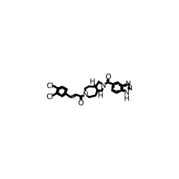 O=C(/C=C/c1ccc(Cl)c(Cl)c1)N1CC[C@@H]2CN(C(=O)c3ccc4[nH]nnc4c3)C[C@@H]2CC1